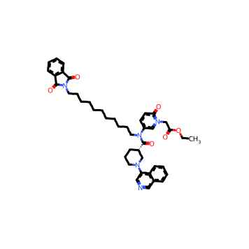 CCOC(=O)Cn1cc(N(CCCCCCCCCCCN2C(=O)c3ccccc3C2=O)C(=O)[C@H]2CCCN(c3cncc4ccccc34)C2)ccc1=O